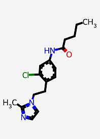 CCCCC(=O)Nc1ccc(CCn2ccnc2C)c(Cl)c1